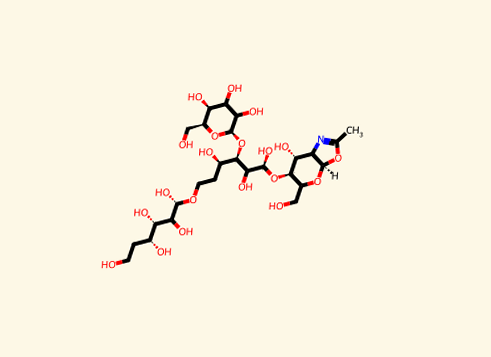 CC1=NC2[C@@H](O1)OC(CO)[C@@H](O[C@H](O)C(O)[C@H](O[C@H]1O[C@@H](CO)[C@@H](O)C(O)C1O)[C@H](O)CCO[C@@H](O)C(O)[C@@H](O)[C@H](O)CCO)[C@@H]2O